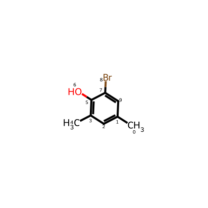 Cc1cc(C)c(O)c(Br)c1